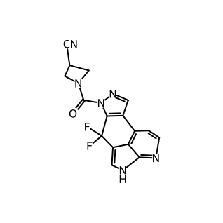 N#CC1CN(C(=O)n2ncc3c2C(F)(F)c2c[nH]c4nccc-3c24)C1